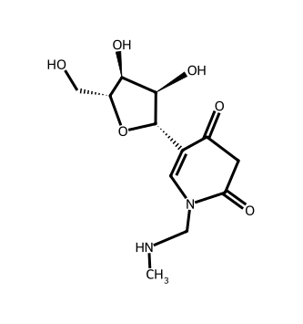 CNCN1C=C([C@@H]2O[C@H](CO)[C@@H](O)[C@H]2O)C(=O)CC1=O